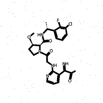 CO[C@@H]1CCN(C(=O)CNc2ncccc2C(=N)C(C)=O)[C@@H]1C(=O)N[C@H](C)c1cccc(Cl)c1F